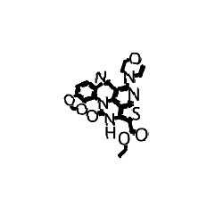 CCOC(=O)c1sc2nc(N3CCOCC3)c(C#N)c3c2c1NC(=O)N3c1c(C)ccc2c1OCO2